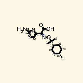 CC(C)(O/N=C(\C(=O)O)c1csc(N)n1)[C@H]1CC[C@H](C)CC1